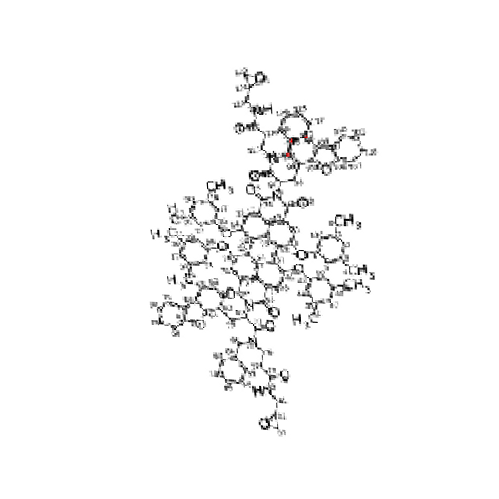 Cc1cc(C)cc(Oc2cc3c4c(cc(Oc5cc(C)cc(C)c5)c5c6c(Oc7cc(C)cc(C)c7)cc7c8c(cc(Oc9cc(C)cc(C)c9)c(c2c45)c86)C(=O)N(C(Cc2cccc4c2oc2ccccc24)C(=O)N(CCC(=O)NCC2CO2)Cc2ccccc2)C7=O)C(=O)N(C(Cc2cccc4c2oc2ccccc24)C(=O)N(CCC(=O)NCC2CO2)Cc2ccccc2)C3=O)c1